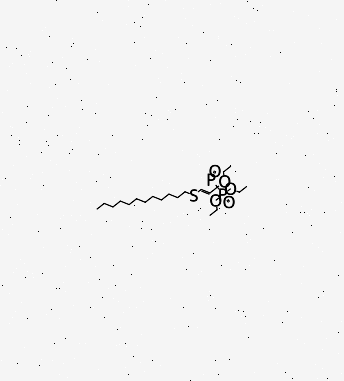 CCCCCCCCCCCCSC=CC(OCC)(P=O)P(=O)(OCC)OCC